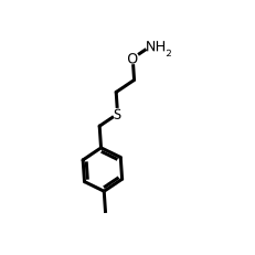 Cc1ccc(CSCCON)cc1